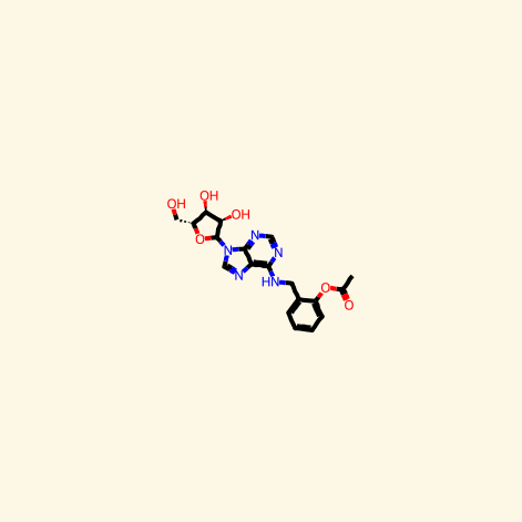 CC(=O)Oc1ccccc1CNc1ncnc2c1ncn2C1O[C@H](CO)[C@@H](O)[C@H]1O